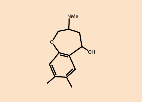 CNC1COc2cc(C)c(C)cc2C(O)C1